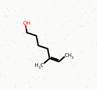 CC=C(C)CCCCO